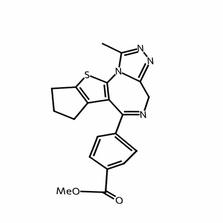 COC(=O)c1ccc(C2=NCc3nnc(C)n3-c3sc4c(c32)CCC4)cc1